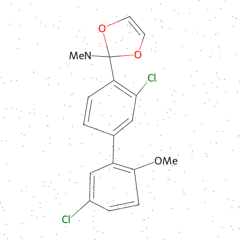 CNC1(c2ccc(-c3cc(Cl)ccc3OC)cc2Cl)OC=CO1